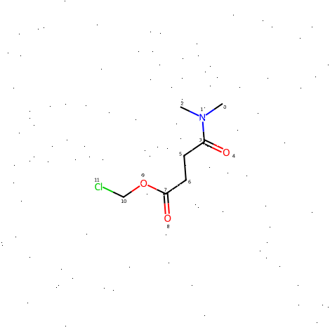 CN(C)C(=O)CCC(=O)OCCl